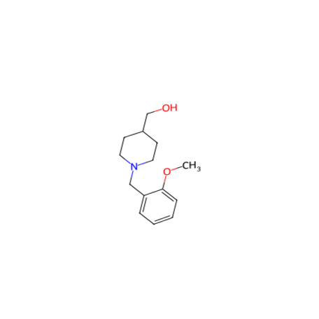 COc1ccccc1CN1CCC(CO)CC1